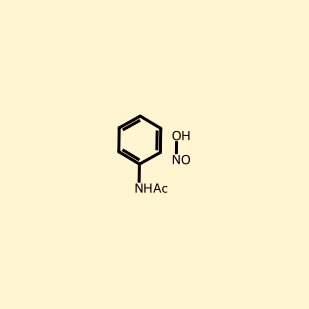 CC(=O)Nc1ccccc1.O=NO